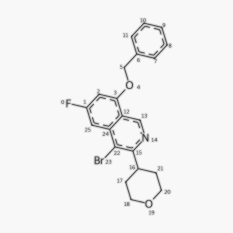 Fc1cc(OCc2ccccc2)c2cnc(C3CCOCC3)c(Br)c2c1